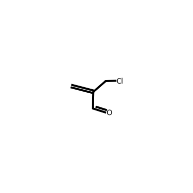 C=C(C=O)CCl